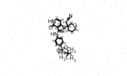 CC(C)(C)NS(=O)(=O)c1ccc(Nc2nn(C3(CC#N)CCCOC3)c3cc[nH]c(=O)c23)cc1